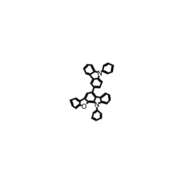 c1ccc(-n2c3ccccc3c3cc(-c4cc5c6ccccc6oc5c5c4c4ccccc4n5-c4ccccc4)ccc32)cc1